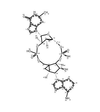 Cc1nc2c(ncn2[C@@H]2O[C@]34CO[P@@](=O)(S)O[C@H]5[C@@H](O)[C@H](n6cnc7c(N)ncnc76)[C@H]6CC65COP(=O)(O)O[C@@H]2[C@@H]3C4)c(=O)[nH]1